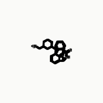 NCC1CCCC(CC23C=CC=C(C2=S)c2nc4cccc3c4c(=O)[nH]2)C1